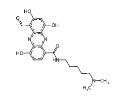 CN(C)CCCCCNC(=O)c1ccc(O)c2nc3c(C=O)c(O)cc(O)c3nc12